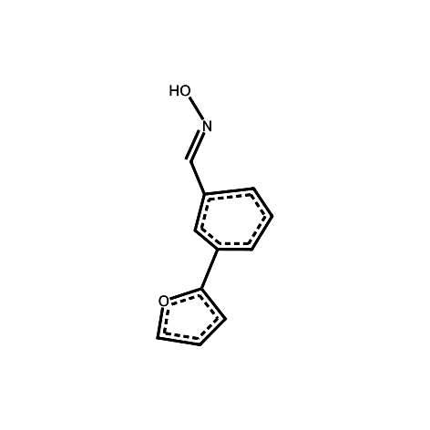 ON=Cc1cccc(-c2ccco2)c1